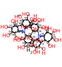 Bc1c(O)c(O)c2c3c(O)c(O)c(O)c(O)c3n(-c3c(O)c(O)c(O)c(O)c3-c3c(O)c(O)c(O)c(O)c3-n3c4c(O)c(O)c(O)c(O)c4c4c(O)c(O)c(O)c(O)c43)c2c1O